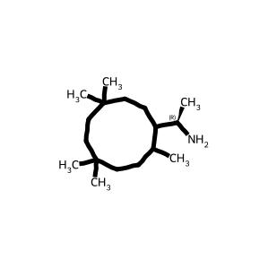 CC1CCC(C)(C)CCC(C)(C)CCC1[C@@H](C)N